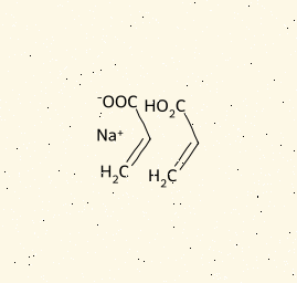 C=CC(=O)O.C=CC(=O)[O-].[Na+]